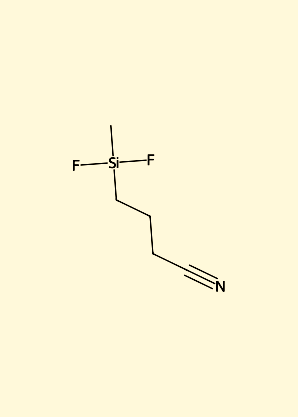 C[Si](F)(F)CCCC#N